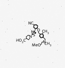 COCCN(C)Cc1ccc(COc2ccc(C#N)cc2-c2csc(N3CCC(C(=O)O)CC3)n2)c(C)c1